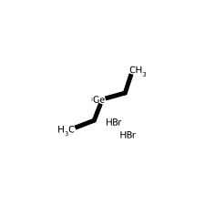 Br.Br.C[CH2][Ge][CH2]C